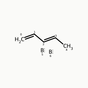 C=CC=CC.[B].[B]